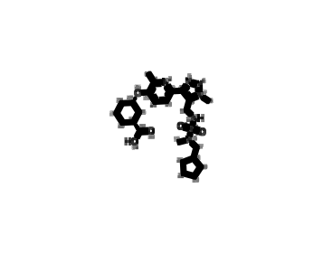 Cc1nc(-c2nnn(C)c2CNS(=O)(=O)N(C)CC2CCCC2)ccc1O[C@H]1CCC[C@H](C(=O)O)C1